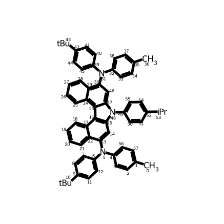 Cc1ccc(N(c2ccc(C(C)(C)C)cc2)c2cc3c(c4ccccc24)c2c4ccccc4c(N(c4ccc(C)cc4)c4ccc(C(C)(C)C)cc4)cc2n3-c2ccc(C(C)C)cc2)cc1